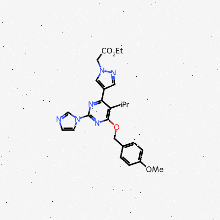 CCOC(=O)Cn1cc(-c2nc(-n3ccnc3)nc(OCc3ccc(OC)cc3)c2C(C)C)cn1